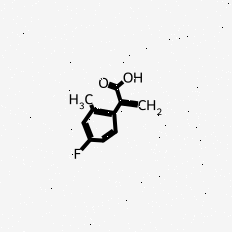 C=C(C(=O)O)c1ccc(F)cc1C